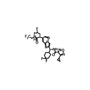 O=C(N[C@H](c1cn2ncc([C@H](CC(F)F)C(=O)NCC(F)(F)F)cc2n1)C1CCC(F)(F)CC1)c1nonc1C1CC1